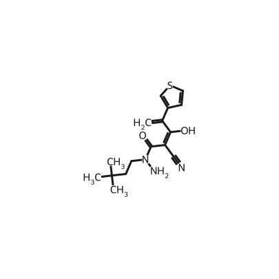 C=C(/C(O)=C(/C#N)C(=O)N(N)CCC(C)(C)C)c1ccsc1